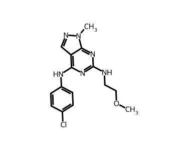 COCCNc1nc(Nc2ccc(Cl)cc2)c2cnn(C)c2n1